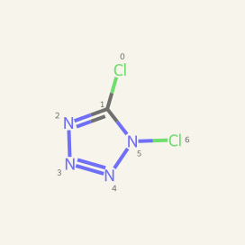 Clc1nnnn1Cl